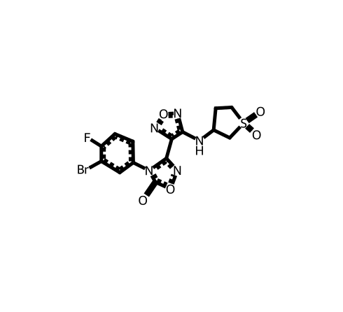 O=c1onc(-c2nonc2NC2CCS(=O)(=O)C2)n1-c1ccc(F)c(Br)c1